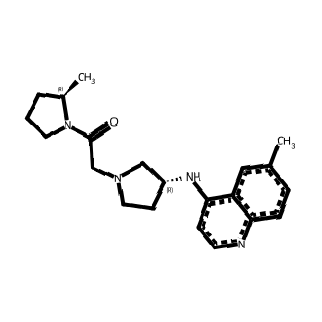 Cc1ccc2nccc(N[C@@H]3CCN(CC(=O)N4CCC[C@H]4C)C3)c2c1